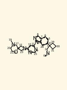 C=NCC1(c2ccc3cnn(-c4cc(N5CC6(CN(C)CCO6)C5)ncn4)c3c2)CCC1